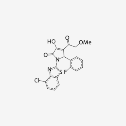 COCC(=O)C1=C(O)C(=O)N(c2nc3c(Cl)cccc3s2)C1c1ccccc1F